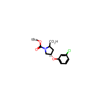 CC(C)(C)OC(=O)N1C[C@@H](Oc2cccc(Cl)c2)CC1C(=O)O